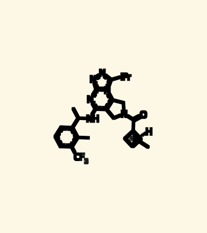 Cc1c(C(C)Nc2nc3nnc(C(C)C)n3c3c2CN(C(=O)C24CC(C2)[C@@H]4C)C3)cccc1C(F)(F)F